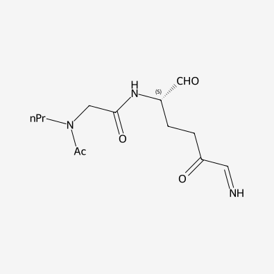 CCCN(CC(=O)N[C@H](C=O)CCC(=O)C=N)C(C)=O